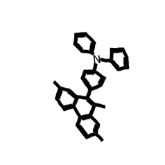 Cc1ccc2c(c1)c(C)c(-c1ccc(N(c3ccccc3)c3ccccc3)cc1)c1cc(C)ccc12